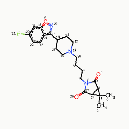 CC1(C)C2C(=O)N(CCCCN3CCC(c4noc5cc(F)ccc45)CC3)C(=O)C21